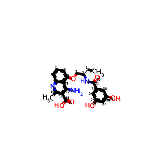 CC[C@@H](COc1cccc2nc(C)c(C(=O)O)c(N)c12)NC(=O)c1cc(O)cc(O)c1